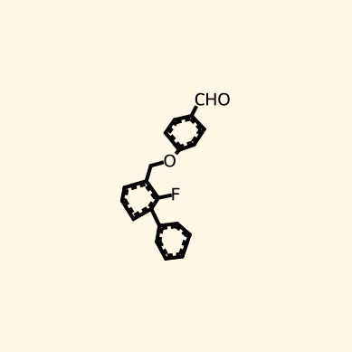 O=Cc1ccc(OCc2cccc(-c3ccccc3)c2F)cc1